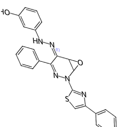 COc1ccc(-c2csc(N3N=C(c4ccccc4)/C(=N\Nc4cccc(O)c4)C4OC43)n2)cc1